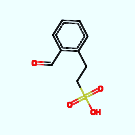 O=Cc1ccccc1CCS(=O)(=O)O